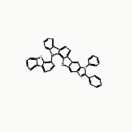 c1ccc(-c2nc3cc4oc5c(ccc6c7ccccc7n(-c7cccc8c7sc7ccccc78)c65)c4cc3n2-c2ccccc2)cc1